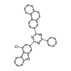 Clc1cc(-c2nc(-c3ccccc3)nc(-c3ccc4c(ccc5ccccc54)c3)n2)cc2oc3ccccc3c12